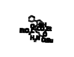 CCOC(=O)C(CCC(N)C(=O)OC(C)(C)C)(C(=O)OCC)C(=O)[C@@H]1NCCC1C1CCCCC1